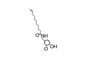 C=CCCCCCCCCC(=O)NCc1ccc(O)c(OC)c1